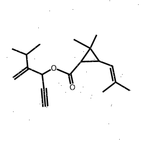 C#CC(OC(=O)C1C(C=C(C)C)C1(C)C)C(=C)C(C)C